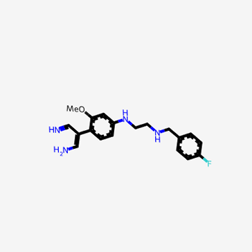 COc1cc(NCCNCc2ccc(F)cc2)ccc1/C(C=N)=C/N